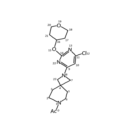 CC(=O)N1CCC2(CC1)CN(c1cc(Cl)nc(OC3CCOCC3)n1)C2